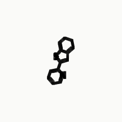 C1=c2cc(-c3ccccn3)sc2=CCC1